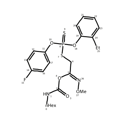 CCCCCCNC(=O)OC(CSP(=S)(Oc1ccc(F)cc1)Oc1ccccc1CC)=NOC